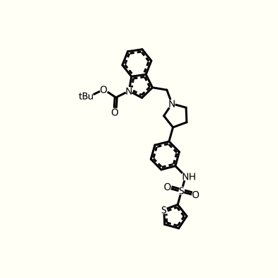 CC(C)(C)OC(=O)n1cc(CN2CCC(c3cccc(NS(=O)(=O)c4cccs4)c3)C2)c2ccccc21